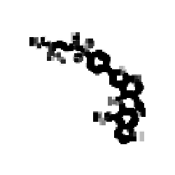 Cc1c(Nc2c(C#N)cnc3sc(-c4ccc(S(=O)(=O)NCCN(C)C)cc4)cc23)ccc2[nH]ccc12